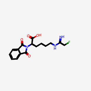 N=C(CF)NCCCCC(C(=O)O)N1C(=O)c2ccccc2C1=O